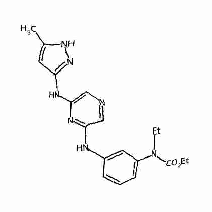 CCOC(=O)N(CC)c1cccc(Nc2cncc(Nc3cc(C)[nH]n3)n2)c1